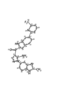 Cc1nc2cc(-n3ncc(C(=O)c4cc5ccc(-c6cccc(C(F)(F)F)n6)cc5[nH]4)c3N)ccc2[nH]1